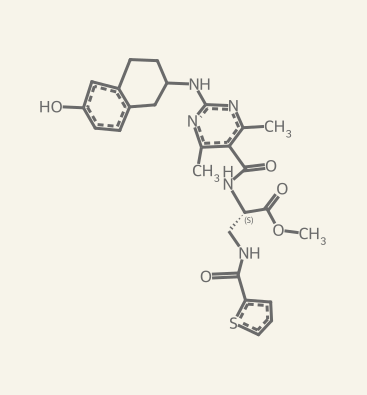 COC(=O)[C@H](CNC(=O)c1cccs1)NC(=O)c1c(C)nc(NC2CCc3cc(O)ccc3C2)nc1C